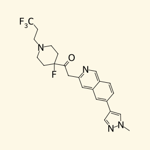 Cn1cc(-c2ccc3cnc(CC(=O)C4(F)CCN(CCC(F)(F)F)CC4)cc3c2)cn1